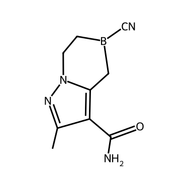 Cc1nn2c(c1C(N)=O)CB(C#N)CC2